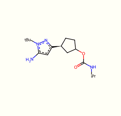 CC(C)NC(=O)OC1CC[C@H](c2cc(N)n(C(C)(C)C)n2)C1